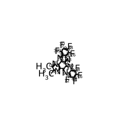 Cc1nc2c(nc1C)c1nc3c(F)c(F)c(F)c(F)c3nc1c1nc3c(F)c(F)c(F)c(F)c3nc21